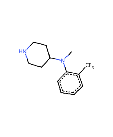 CN(c1ccccc1C(F)(F)F)C1CCNCC1